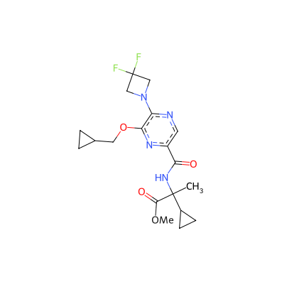 COC(=O)C(C)(NC(=O)c1cnc(N2CC(F)(F)C2)c(OCC2CC2)n1)C1CC1